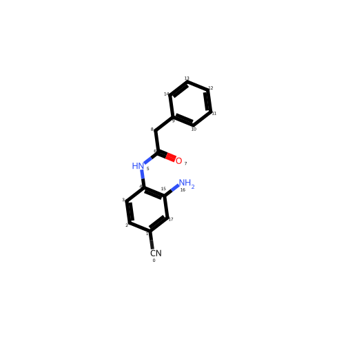 N#Cc1ccc(NC(=O)Cc2ccccc2)c(N)c1